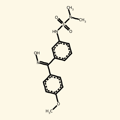 COc1ccc(/C(=N/O)c2cccc(NS(=O)(=O)N(C)C)c2)cc1